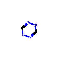 C1=N[N]C=NN1